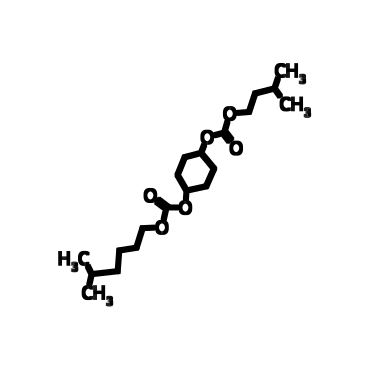 CC(C)CCCCOC(=O)OC1CCC(OC(=O)OCCC(C)C)CC1